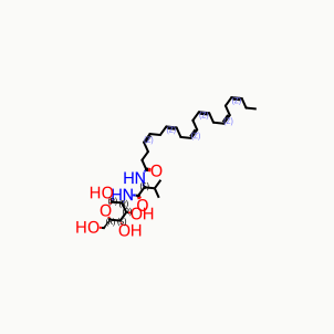 CC/C=C\C/C=C\C/C=C\C/C=C\C/C=C\C/C=C\CCC(=O)N[C@H](C(=O)N[C@@H]1[C@@H](O)[C@H](O)[C@@H](CO)O[C@H]1O)C(C)C